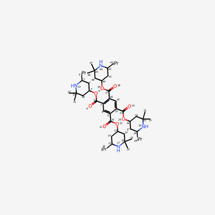 CC(C)C1CC(OC(=O)c2cc(C(=O)OC3CC(C(C)C)NC(C)(C)C3)c(C(=O)OC3CC(C(C)C)NC(C)(C)C3)cc2C(=O)OC2CC(C(C)C)NC(C)(C)C2)CC(C)(C)N1